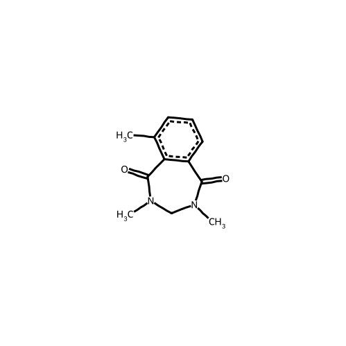 Cc1cccc2c1C(=O)N(C)CN(C)C2=O